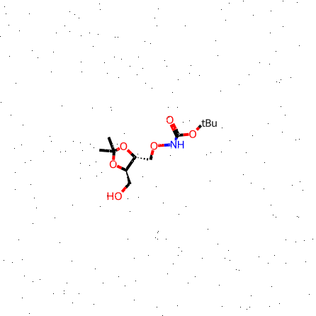 CC(C)(C)OC(=O)NOC[C@H]1OC(C)(C)O[C@@H]1CO